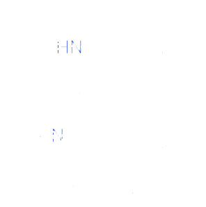 C1=CN=C2NCCC2C1